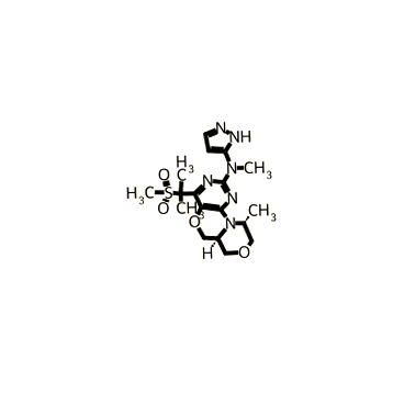 C[C@@H]1COC[C@H]2COc3c(nc(N(C)c4ccn[nH]4)nc3C(C)(C)S(C)(=O)=O)N21